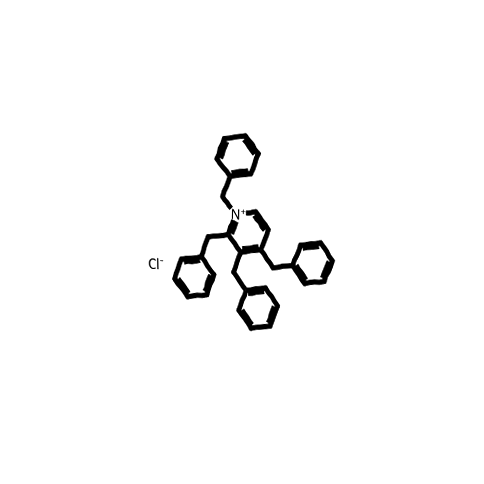 [Cl-].c1ccc(Cc2cc[n+](Cc3ccccc3)c(Cc3ccccc3)c2Cc2ccccc2)cc1